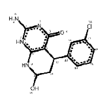 Nc1nc(=O)c2c([nH]1)NC(O)CC2c1cccc(Cl)c1